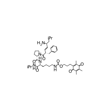 CC1=C(C)C(=O)C(CCCOC(=O)NCCCC[C@H](NC(=O)[C@@H]2CCCN2C(=O)[C@H](/C=C/[C@@H](N)CC(C)C)Cc2ccccc2)C(=O)NC(C)C)=C(C)C1=O